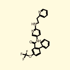 O=C(Nc1ccc(NCCc2ccccn2)nc1)c1cc(OC(F)(F)F)ccc1-c1ccccc1